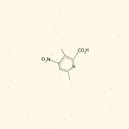 Cc1cc([N+](=O)[O-])c(C)c(C(=O)O)n1